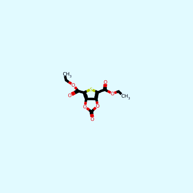 CCOC(=O)c1sc(C(=O)OCC)c2oc(=O)oc12